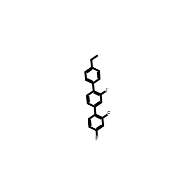 CCc1ccc(-c2ccc(-c3ccc(F)cc3F)cc2F)cc1